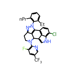 CCCc1cccc(CC)c1-n1nc2c3c1-c1ccc(Cl)c4[nH]cc(c14)C3N(c1ncc(C(F)(F)F)cc1F)CC2